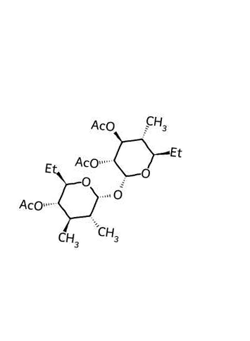 CC[C@H]1O[C@H](O[C@H]2O[C@H](CC)[C@@H](OC(C)=O)[C@H](C)[C@H]2C)[C@H](OC(C)=O)[C@@H](OC(C)=O)[C@@H]1C